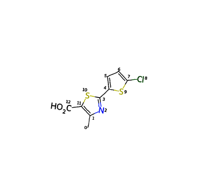 Cc1nc(-c2ccc(Cl)s2)sc1C(=O)O